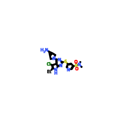 CCc1[nH]c2nc(Sc3cncc(S(=O)(=O)N(C)C)c3)nc(N3CC4C(N)C4C3)c2c1Cl